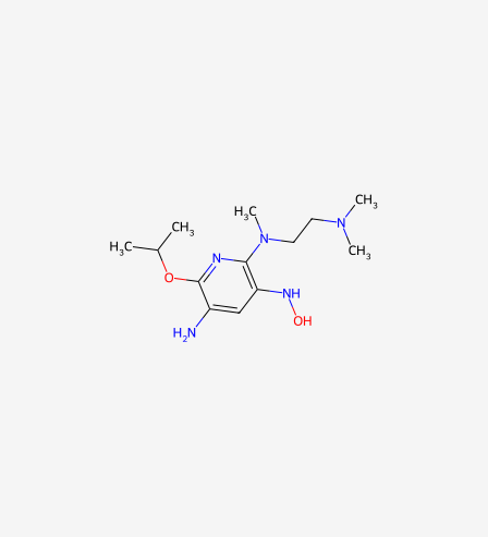 CC(C)Oc1nc(N(C)CCN(C)C)c(NO)cc1N